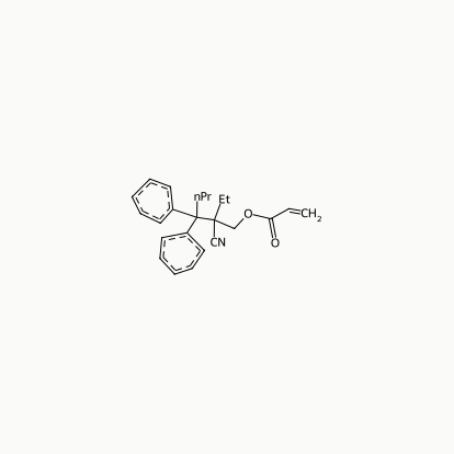 C=CC(=O)OCC(C#N)(CC)C(CCC)(c1ccccc1)c1ccccc1